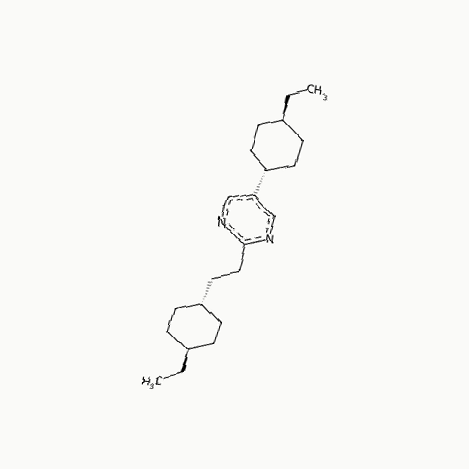 CC[C@H]1CC[C@H](CCc2ncc([C@H]3CC[C@H](CC)CC3)cn2)CC1